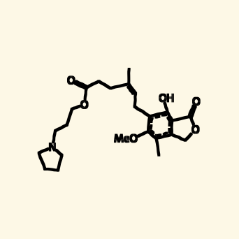 COc1c(C)c2c(c(O)c1CC=C(C)CCC(=O)OCCCN1CCCC1)C(=O)OC2